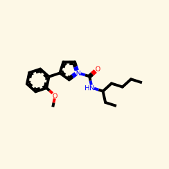 CCCCC(CC)NC(=O)n1ccc(-c2ccccc2OC)c1